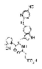 N#C[C@@H]1CCCN1C(=O)[C@H](Cc1c[nH]c2ccc(Oc3ccc(N=O)cn3)cc12)NC(=O)CCC(=O)O